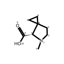 CN1CCC2(CC2)[C@H]1C(=O)O